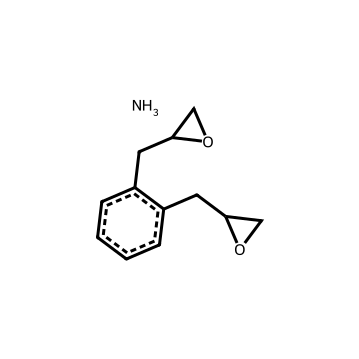 N.c1ccc(CC2CO2)c(CC2CO2)c1